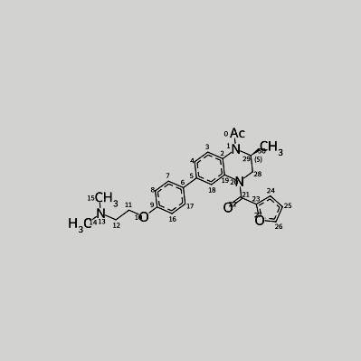 CC(=O)N1c2ccc(-c3ccc(OCCN(C)C)cc3)cc2N(C(=O)c2ccco2)C[C@@H]1C